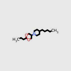 CCCCCC1CCN(C2COC(CCC)OC2)CC1